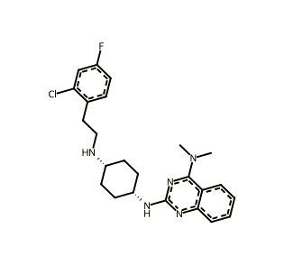 CN(C)c1nc(N[C@H]2CC[C@@H](NCCc3ccc(F)cc3Cl)CC2)nc2ccccc12